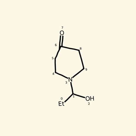 CCC(O)N1CCC(=O)CC1